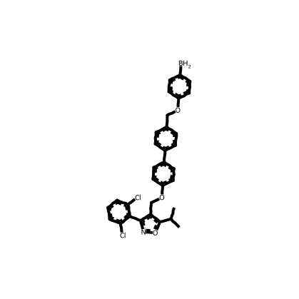 Bc1ccc(OCc2ccc(-c3ccc(OCc4c(-c5c(Cl)cccc5Cl)noc4C(C)C)cc3)cc2)cc1